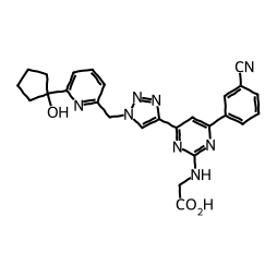 N#Cc1cccc(-c2cc(-c3cn(Cc4cccc(C5(O)CCCC5)n4)nn3)nc(NCC(=O)O)n2)c1